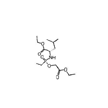 CCOC(=O)COP(=O)(CC)N[C@@H](CC(C)C)C(=O)OCC